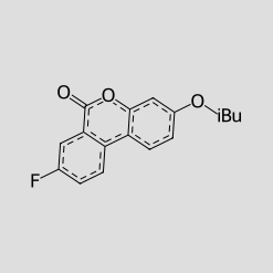 CCC(C)Oc1ccc2c(c1)oc(=O)c1cc(F)ccc12